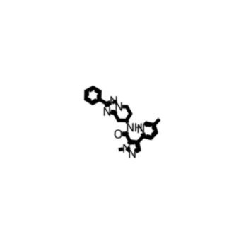 Cc1ccc(-c2cnn(C)c2C(=O)NC2CCn3nc(-c4ccccc4)nc3C2)nc1